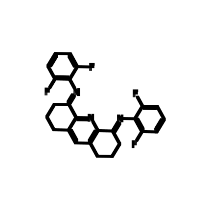 Fc1cccc(F)c1/N=C1\CCCc2cc3c(nc21)/C(=N/c1c(F)cccc1F)CCC3